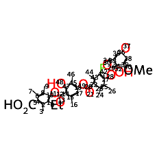 CCc1c(C)c(C(=O)O)c(C)c(C)c1OC(=O)c1c(C)cc(OC(=O)c2c(C)c(C)c(OC(=O)C3(O)C(C)=CC(=O)C=C3OC)c(F)c2C)c(C)c1O